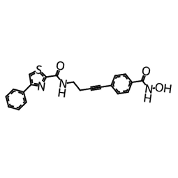 O=C(NO)c1ccc(C#CCCNC(=O)c2nc(-c3ccccc3)cs2)cc1